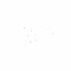 O=c1c(-c2ccccc2)c(O)c2ccccc2n1CCc1cccnc1